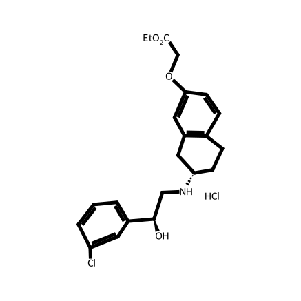 CCOC(=O)COc1ccc2c(c1)C[C@@H](NC[C@@H](O)c1cccc(Cl)c1)CC2.Cl